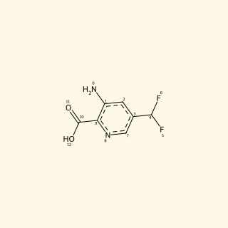 Nc1cc(C(F)F)cnc1C(=O)O